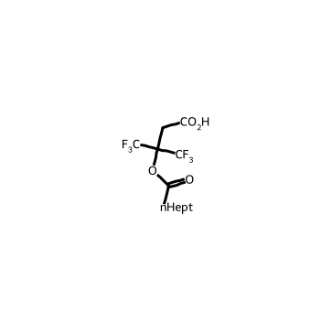 CCCCCCCC(=O)OC(CC(=O)O)(C(F)(F)F)C(F)(F)F